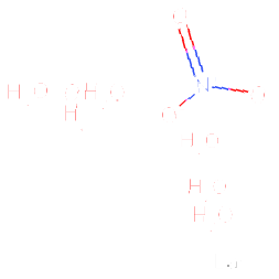 O.O.O.O.O.O.O=[N+]([O-])[O-].[La]